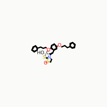 O=C(O)C(=Cc1cc(OCCCc2ccccc2)ccc1OCCCc1ccccc1)N1CC[S+]([O-])C1=S